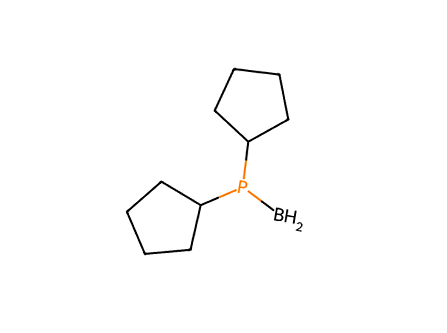 BP(C1CCCC1)C1CCCC1